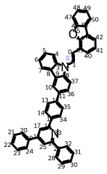 C(=C\n1c2ccccc2c2cc(-c3ccc(-c4cc(-c5ccccc5)cc(-c5ccccc5)n4)cc3)ccc21)/c1cccc2c1oc1ccccc12